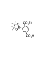 CCOC(=O)c1ccc(C(=O)O)cc1B1OC(C)(C)C(C)(C)O1